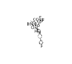 CC1=C(C(=O)O)[C@H](c2ccc(F)c(F)c2)N(C(=O)N[C@@H]2CCN(C3CCC(c4ccc(F)cc4)CC3)C2)C(=O)N1